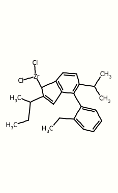 CCc1ccccc1-c1c(C(C)C)ccc2c1C=C(C(C)CC)[CH]2[Zr]([Cl])[Cl]